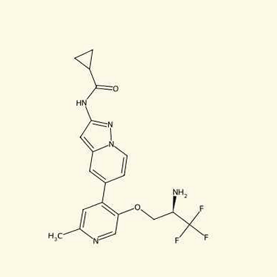 Cc1cc(-c2ccn3nc(NC(=O)C4CC4)cc3c2)c(OC[C@@H](N)C(F)(F)F)cn1